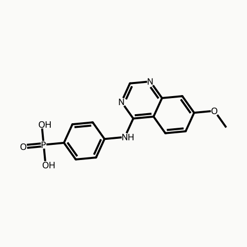 COc1ccc2c(Nc3ccc(P(=O)(O)O)cc3)ncnc2c1